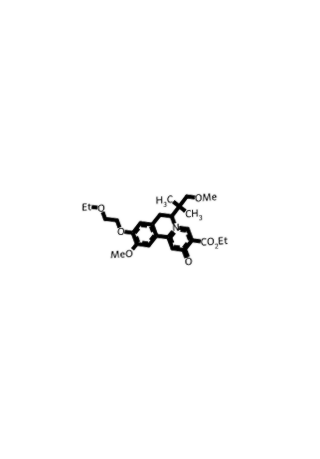 CCOCCOc1cc2c(cc1OC)-c1cc(=O)c(C(=O)OCC)cn1C(C(C)(C)COC)C2